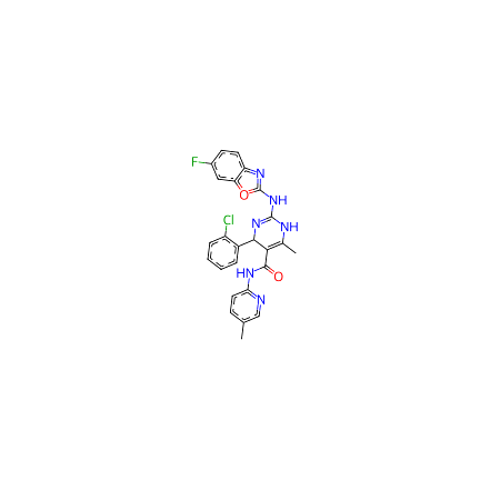 CC1=C(C(=O)Nc2ccc(C)cn2)C(c2ccccc2Cl)N=C(Nc2nc3ccc(F)cc3o2)N1